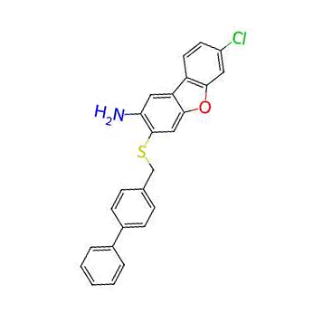 Nc1cc2c(cc1SCc1ccc(-c3ccccc3)cc1)oc1cc(Cl)ccc12